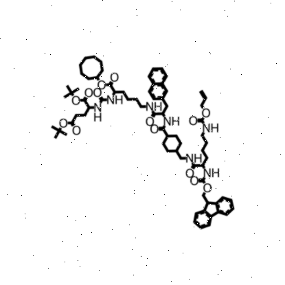 C=CCOC(=O)NCCCCC(NC(=O)OCC1c2ccccc2-c2ccccc21)C(=O)NCC1CCC(C(=O)NC(Cc2ccc3ccccc3c2)C(=O)NCCCCC(NC(=O)NC(CCC(=O)OC(C)(C)C)C(=O)OC(C)(C)C)C(=O)OC2CCCCCCC2)CC1